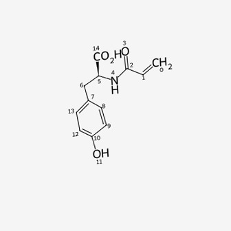 C=CC(=O)N[C@@H](Cc1ccc(O)cc1)C(=O)O